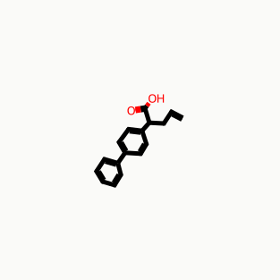 C=CCC(C(=O)O)c1ccc(-c2ccccc2)cc1